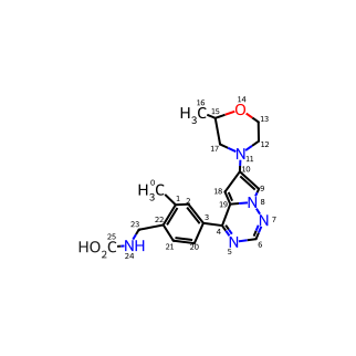 Cc1cc(-c2ncnn3cc(N4CCOC(C)C4)cc23)ccc1CNC(=O)O